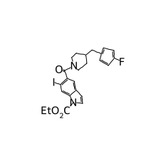 CCOC(=O)n1ccc2cc(C(=O)N3CCC(Cc4ccc(F)cc4)CC3)c(I)cc21